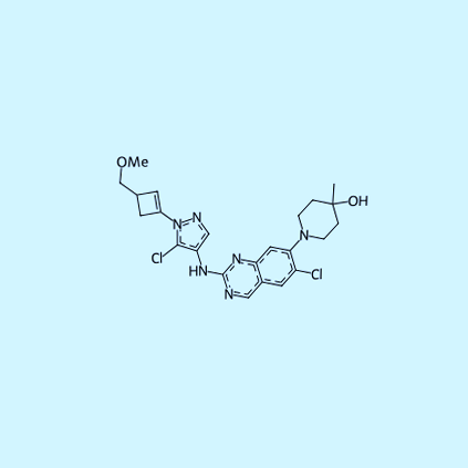 COCC1C=C(n2ncc(Nc3ncc4cc(Cl)c(N5CCC(C)(O)CC5)cc4n3)c2Cl)C1